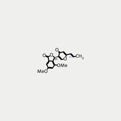 C/C=C/c1cc(=O)c([C@@H]2OC(=O)c3cc(OC)cc(OC)c32)co1